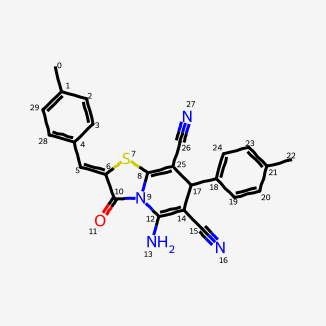 Cc1ccc(C=c2sc3n(c2=O)C(N)=C(C#N)C(c2ccc(C)cc2)C=3C#N)cc1